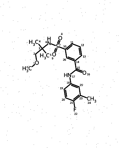 COCC(C)(C)NS(=O)(=O)c1cccc(C(=O)Nc2ccc(F)c(C)c2)c1